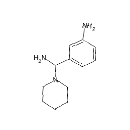 Nc1cccc(C(N)N2CCCCC2)c1